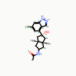 CC(=O)NC1C[C@@H]2C[C@@](O)(c3cc(Cl)cc4[nH]ncc34)C[C@@H]2C1